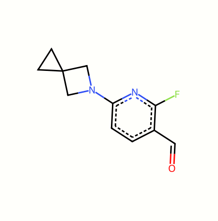 O=Cc1ccc(N2CC3(CC3)C2)nc1F